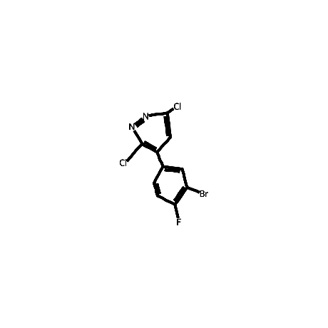 Fc1ccc(-c2cc(Cl)nnc2Cl)cc1Br